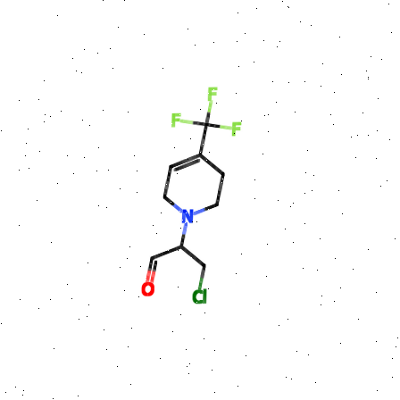 O=CC(CCl)N1CC=C(C(F)(F)F)CC1